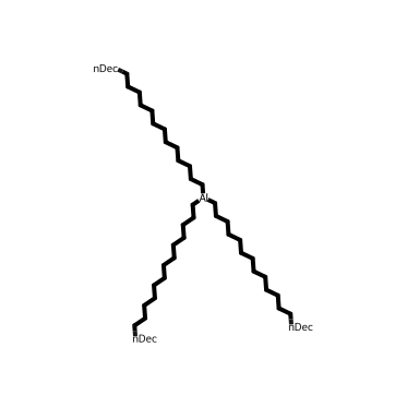 CCCCCCCCCCCCCCCCCCCCCC[CH2][Al]([CH2]CCCCCCCCCCCCCCCCCCCCCC)[CH2]CCCCCCCCCCCCCCCCCCCCCC